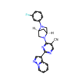 N#Cc1cnc(-c2cnn3ccccc23)nc1N1C[C@@H]2C[C@H]1CN2c1cccc(F)c1